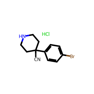 Cl.N#CC1(c2ccc(Br)cc2)CCNCC1